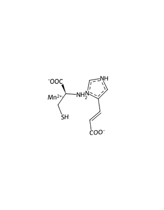 N[C@@H](CS)C(=O)[O-].O=C([O-])C=Cc1c[nH]cn1.[Mn+2]